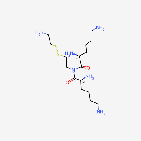 NCCCC[C@H](N)C(=O)N(CCSSCCN)C(=O)[C@@H](N)CCCCN